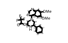 COc1cc2ncnc(N3CCNC(c4ccccc4)C3)c2cc1OC.O=C(O)C(F)(F)F